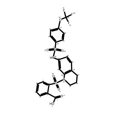 O=C(O)c1ccccc1S(=O)(=O)N1CCCc2ccc(NS(=O)(=O)c3ccc(OC(F)(F)F)cc3)cc21